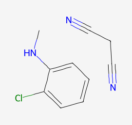 CNc1ccccc1Cl.N#CCC#N